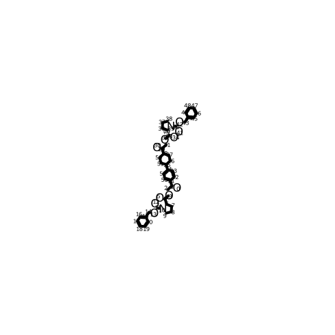 O=C(COC(=O)C1CCCN1C(=O)OCc1ccccc1)c1ccc(C2CCC(C(=O)COC(=O)[C@@H]3CCCN3C(=O)OCc3ccccc3)CC2)cc1